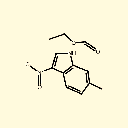 CCOC=O.Cc1ccc2c([N+](=O)[O-])c[nH]c2c1